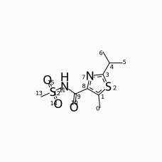 Cc1sc(C(C)C)nc1C(=O)NS(C)(=O)=O